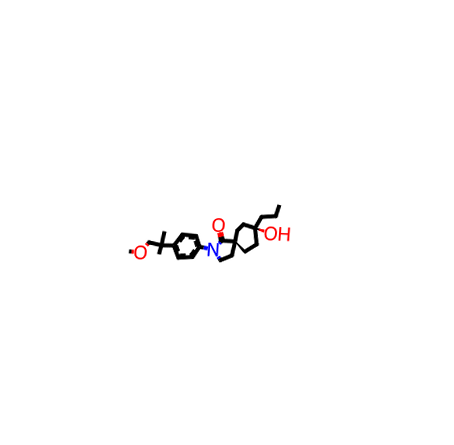 CCC[C@]1(O)CC[C@]2(CCN(c3ccc(C(C)(C)COC)cc3)C2=O)CC1